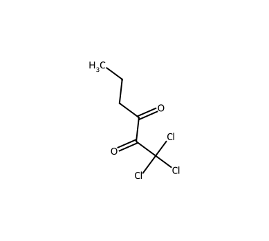 CCCC(=O)C(=O)C(Cl)(Cl)Cl